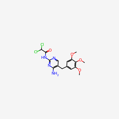 COc1cc(Cc2cnc(NC(=O)C(Cl)Cl)nc2N)cc(OC)c1OC